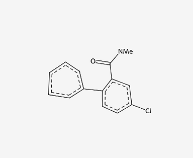 CNC(=O)c1cc(Cl)ccc1-c1ccccc1